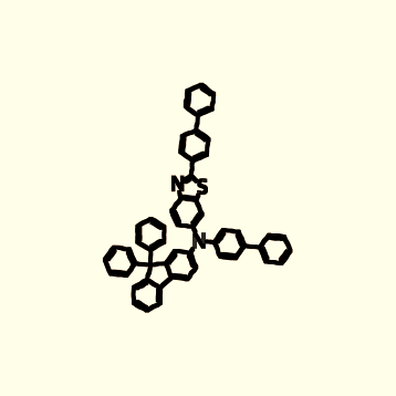 c1ccc(-c2ccc(-c3nc4ccc(N(c5ccc(-c6ccccc6)cc5)c5ccc6c(c5)C(c5ccccc5)(c5ccccc5)c5ccccc5-6)cc4s3)cc2)cc1